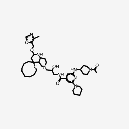 CC(=O)N1CCC(Nc2cc(C(=O)NCC(O)CN3CCC4NC(OCc5ocnc5C)CC5(CCCCCCCCC5)C4C3)cc(N3CCCCC3)n2)CC1